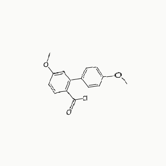 COc1ccc(-c2cc(OC)ccc2C(=O)Cl)cc1